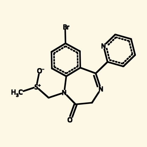 C[S+]([O-])CN1C(=O)CN=C(c2ccccn2)c2cc(Br)ccc21